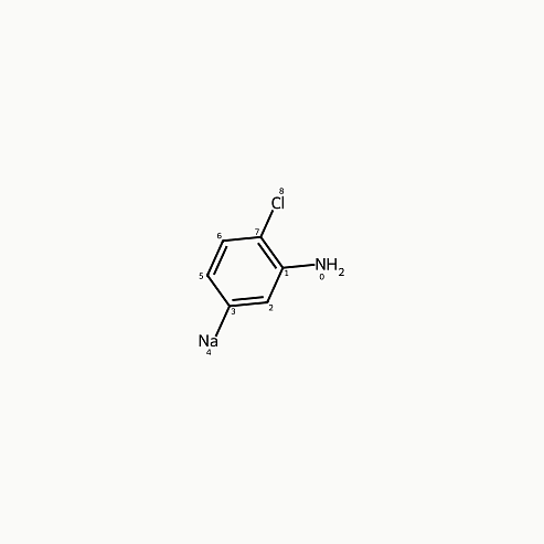 Nc1c[c]([Na])ccc1Cl